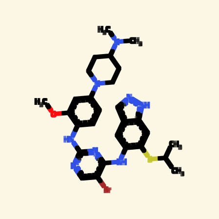 COc1cc(N2CCC(N(C)C)CC2)ccc1Nc1ncc(Br)c(Nc2cc3cn[nH]c3cc2SC(C)C)n1